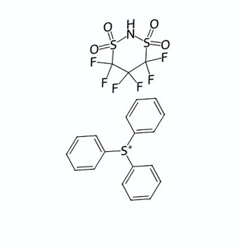 O=S1(=O)NS(=O)(=O)C(F)(F)C(F)(F)C1(F)F.c1ccc([S+](c2ccccc2)c2ccccc2)cc1